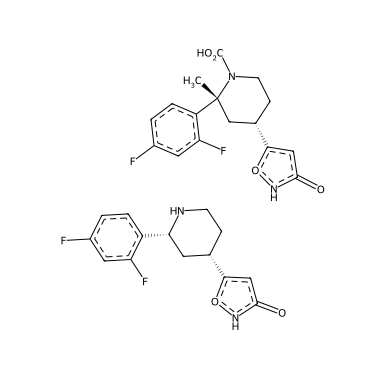 C[C@]1(c2ccc(F)cc2F)C[C@@H](c2cc(=O)[nH]o2)CCN1C(=O)O.O=c1cc([C@H]2CCN[C@@H](c3ccc(F)cc3F)C2)o[nH]1